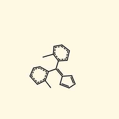 Cc1ccccc1C(=C1[C]=CC=C1)c1ccccc1C